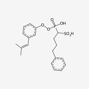 CC(C)=Cc1cccc(OOP(=O)(O)C(CCCc2ccccc2)S(=O)(=O)O)c1